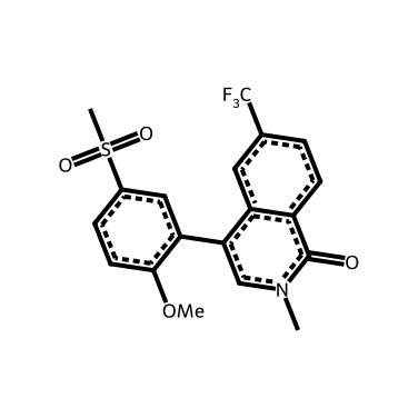 COc1ccc(S(C)(=O)=O)cc1-c1cn(C)c(=O)c2ccc(C(F)(F)F)cc12